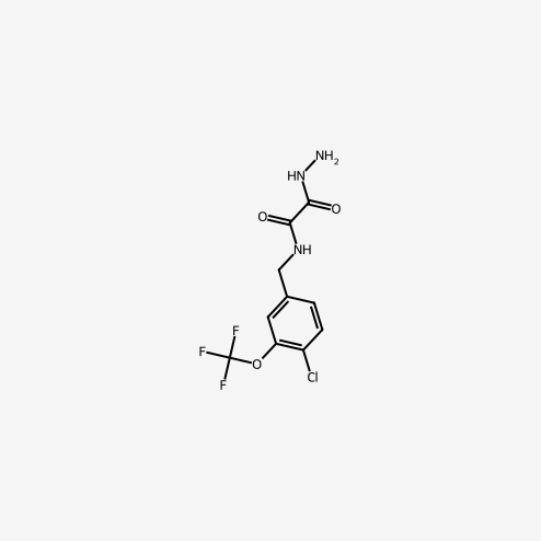 NNC(=O)C(=O)NCc1ccc(Cl)c(OC(F)(F)F)c1